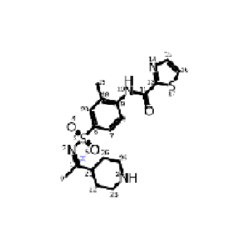 C/C(=N/S(=O)(=O)c1ccc(NC(=O)c2nccs2)c(C)c1)C1CCNCC1